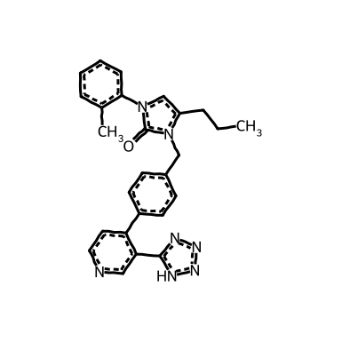 CCCc1cn(-c2ccccc2C)c(=O)n1Cc1ccc(-c2ccncc2-c2nnn[nH]2)cc1